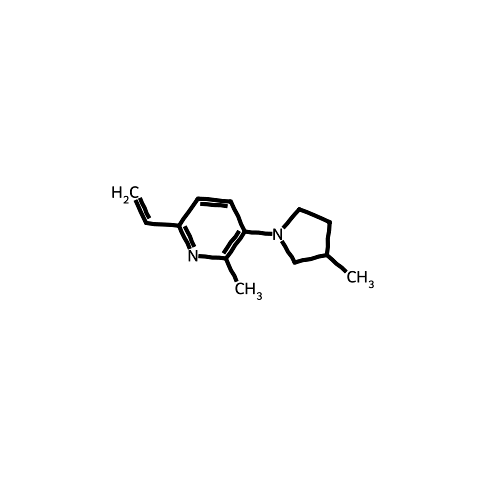 C=Cc1ccc(N2CCC(C)C2)c(C)n1